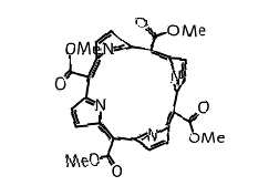 COC(=O)C1=C2C=CC(=N2)C(C(=O)OC)=C2C=CC(=N2)C(C(=O)OC)=C2C=CC(=N2)C(C(=O)OC)=C2C=CC1=N2